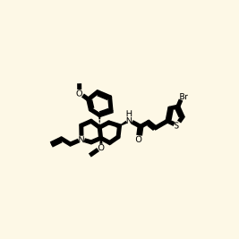 C=CCN1CC[C@@]2(c3cccc(OC)c3)C[C@@H](NC(=O)/C=C/c3cc(Br)cs3)CC[C@]2(OC)C1